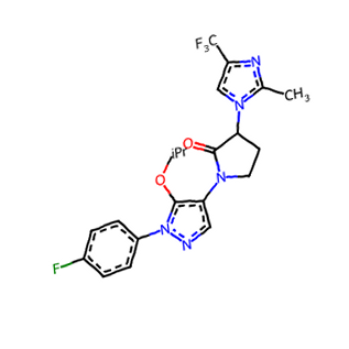 Cc1nc(C(F)(F)F)cn1C1CCN(c2cnn(-c3ccc(F)cc3)c2OC(C)C)C1=O